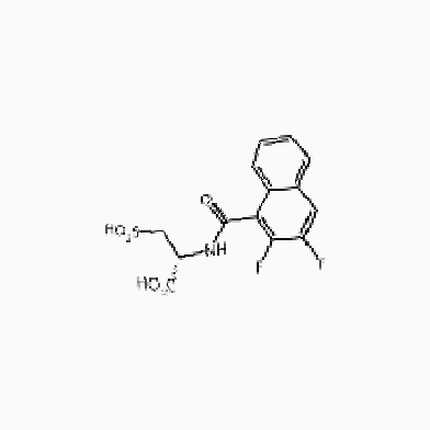 O=C(N[C@@H](CS(=O)(=O)O)C(=O)O)c1c(F)c(F)cc2ccccc12